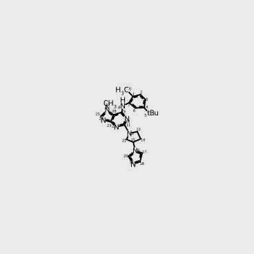 Cc1ccc(C(C)(C)C)cc1Nc1nc(N2CCC(n3ccnc3)C2)nc2ncn(C)c12